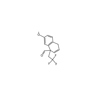 COc1ccc2c(c1)C(C=O)(CC(F)(F)F)C=CC2